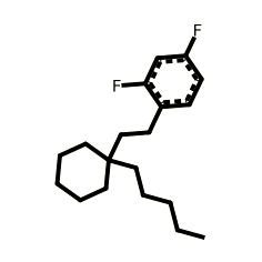 CCCCCC1(CCc2ccc(F)cc2F)CCCCC1